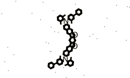 Cc1cc(-c2ccccc2)ccc1N(c1ccc2cc3c(cc2c1)oc1cc2oc4cc5cc(N(c6ccc(-c7ccccc7)cc6C)c6c(C)cccc6C)ccc5cc4c2cc13)c1c(C)cccc1C